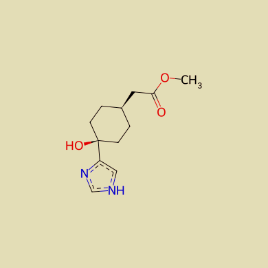 COC(=O)C[C@H]1CC[C@](O)(c2c[nH]cn2)CC1